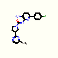 Cc1ccnc(C2CCN(C(=O)Nc3nc(-c4ccc(F)cc4)ccc3N)C2)n1